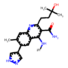 Cc1cc2nc(CCC(C)(C)O)c(C(N)=O)c(NC(C)C)c2cc1-c1cn[nH]c1